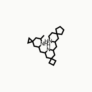 CC1CC2(CC2)CC(CC2CC3(CCC3)CC(CC3CC4(CCCC4)CCN3)N2)N1